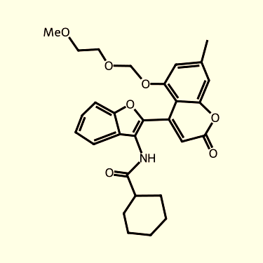 COCCOCOc1cc(C)cc2oc(=O)cc(-c3oc4ccccc4c3NC(=O)C3CCCCC3)c12